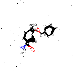 CCNC(=O)c1ccc([N+](=O)[O-])c(OCc2ccccc2)c1